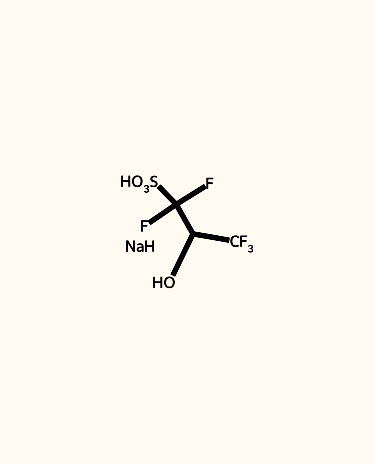 O=S(=O)(O)C(F)(F)C(O)C(F)(F)F.[NaH]